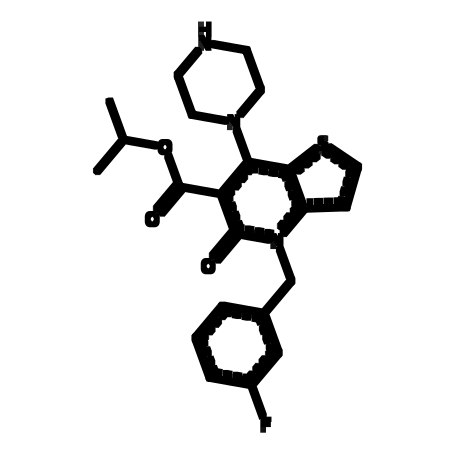 CC(C)OC(=O)c1c(N2CCNCC2)c2sccc2n(Cc2cccc(F)c2)c1=O